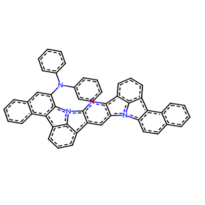 c1ccc(N(c2ccccc2)c2cc3ccccc3c3c4cccc5c6cc7c(nc6n(c23)c54)c2cccc3c4c5ccccc5ccc4n7c23)cc1